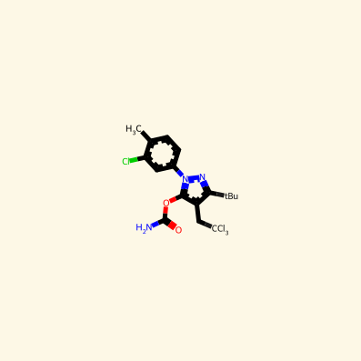 Cc1ccc(-n2nc(C(C)(C)C)c(CC(Cl)(Cl)Cl)c2OC(N)=O)cc1Cl